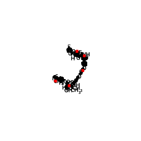 Cc1ncsc1-c1ccc(CNC(=O)[C@@H]2C[C@@H](O)CN2C(=O)[C@@H](NC(=O)COCCOCCOCCOc2ccc(-c3cnc4[nH]cc(C(=O)c5c(F)ccc(NS(=O)(=O)N6CC[C@@H](F)C6)c5F)c4c3)cc2)C(C)(C)C)cc1